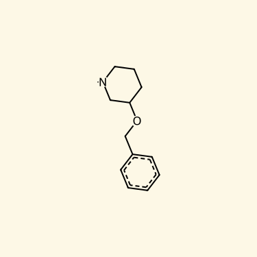 c1ccc(COC2CCC[N]C2)cc1